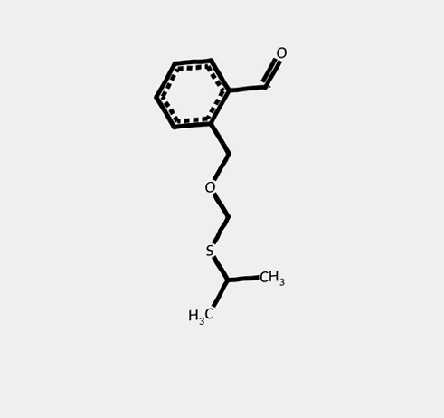 CC(C)SCOCc1ccccc1[C]=O